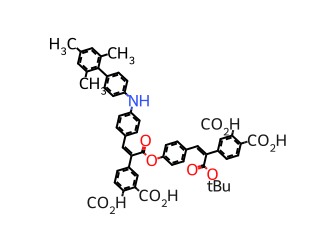 Cc1cc(C)c(-c2ccc(Nc3ccc(/C=C(\C(=O)Oc4ccc(/C=C(\C(=O)OC(C)(C)C)c5ccc(C(=O)O)c(C(=O)O)c5)cc4)c4ccc(C(=O)O)c(C(=O)O)c4)cc3)cc2)c(C)c1